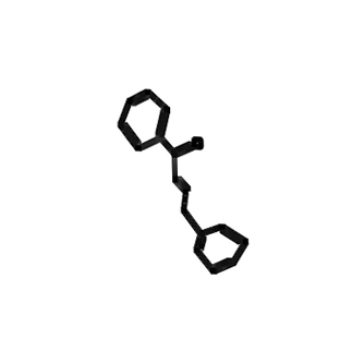 O=C(/C=C/Cc1ccccc1)c1ccccc1